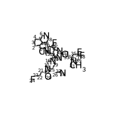 Cc1cccc2cncc(-c3ncc4c(N5CCN(C(=O)/C=C/CF)[C@@H](CC#N)C5)nc(OC[C@@H]5CC(F)(F)CN5C)nc4c3F)c12